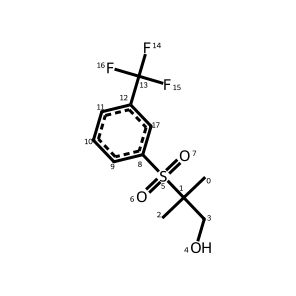 CC(C)(CO)S(=O)(=O)c1cccc(C(F)(F)F)c1